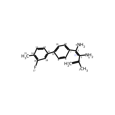 C=C(C)/C(N)=C(/N)c1ccc(-c2ccc(C)c(F)c2)cc1